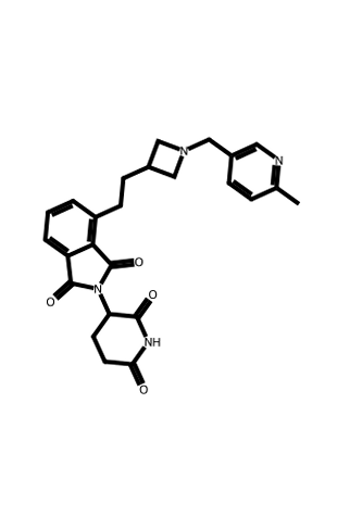 Cc1ccc(CN2CC(CCc3cccc4c3C(=O)N(C3CCC(=O)NC3=O)C4=O)C2)cn1